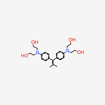 CC(C)=C(c1ccc(N(CCO)CCO)cc1)c1ccc(N(CCO)CCO)cc1